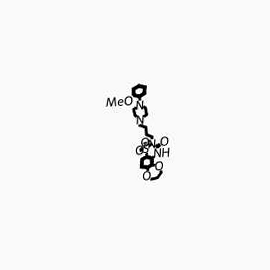 COc1ccccc1N1CCN(CCCCN2C(=O)Nc3c(ccc4c3OCCCO4)S2(=O)=O)CC1